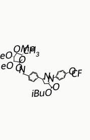 CO[C@@H]1[C@@H](OC)[C@H](C)O[C@@H](O/N=C/c2ccc(C3=NN(c4ccc(OC(F)(F)F)cc4)C(C(=O)OCC(C)C)C3)cc2)[C@@H]1OC